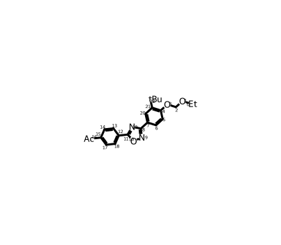 CCOCOc1ccc(-c2noc(-c3ccc(C(C)=O)cc3)n2)cc1C(C)(C)C